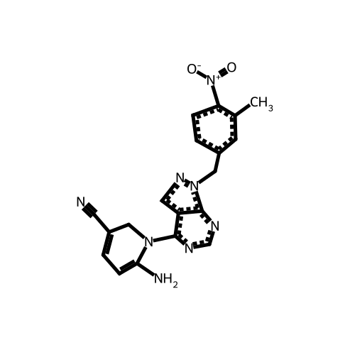 Cc1cc(Cn2ncc3c(N4CC(C#N)=CC=C4N)ncnc32)ccc1[N+](=O)[O-]